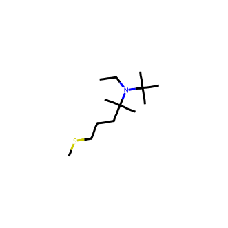 CCN(C(C)(C)C)C(C)(C)CCCSC